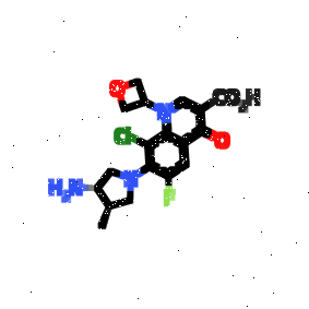 C[C@@H]1CN(c2c(F)cc3c(=O)c(C(=O)O)cn(C4COC4)c3c2Cl)C[C@H]1N